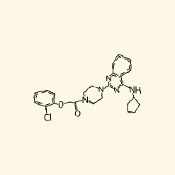 O=C(COc1ccccc1Cl)N1CCN(c2nc(NC3CCCC3)c3ccccc3n2)CC1